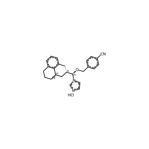 Cl.N#Cc1ccc(CO[C@H]([C@H]2Cc3cccc4c3[C@H](CCC4)C2)n2ccnc2)cc1